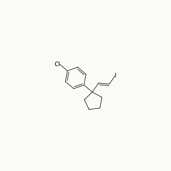 Clc1ccc(C2(C=CI)CCCC2)cc1